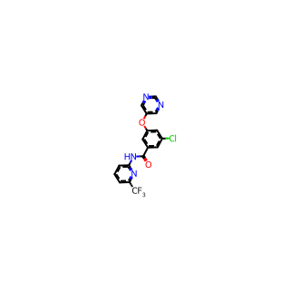 O=C(Nc1cccc(C(F)(F)F)n1)c1cc(Cl)cc(Oc2cncnc2)c1